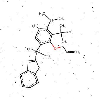 C=CCOc1c([Si](C)(C)C2=Cc3ccccc3C2)cc(C)c([SiH](C)C)c1C(C)(C)C